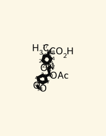 CC(=O)OC(c1ccc2c(c1)OCO2)c1nc2cc(C(C)C(=O)O)ccc2o1